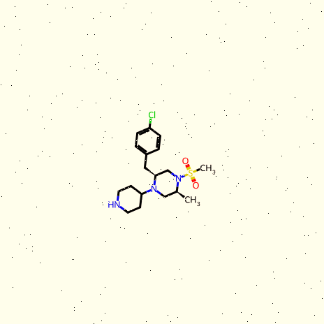 C[C@H]1CN(C2CCNCC2)[C@@H](Cc2ccc(Cl)cc2)CN1S(C)(=O)=O